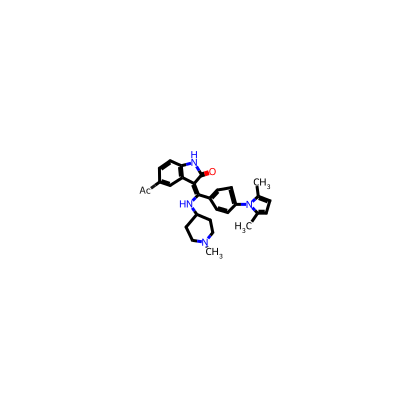 CC(=O)c1ccc2c(c1)/C(=C(\NC1CCN(C)CC1)c1ccc(-n3c(C)ccc3C)cc1)C(=O)N2